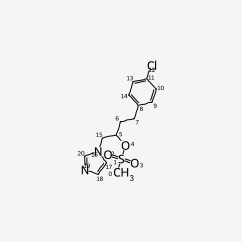 CS(=O)(=O)OC(CCc1ccc(Cl)cc1)Cn1ccnc1